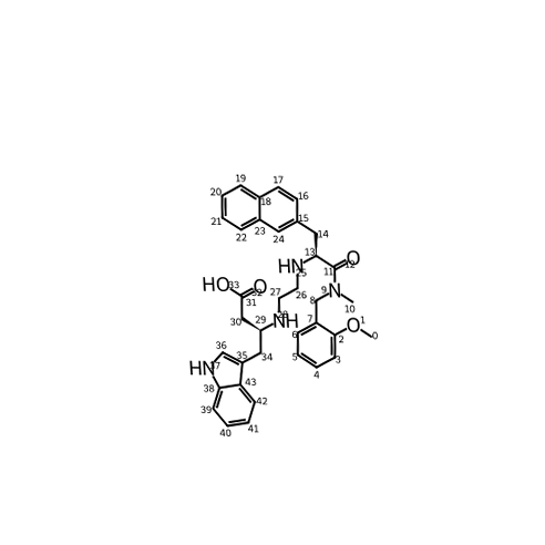 COc1ccccc1CN(C)C(=O)[C@H](Cc1ccc2ccccc2c1)NCCN[C@H](CC(=O)O)Cc1c[nH]c2ccccc12